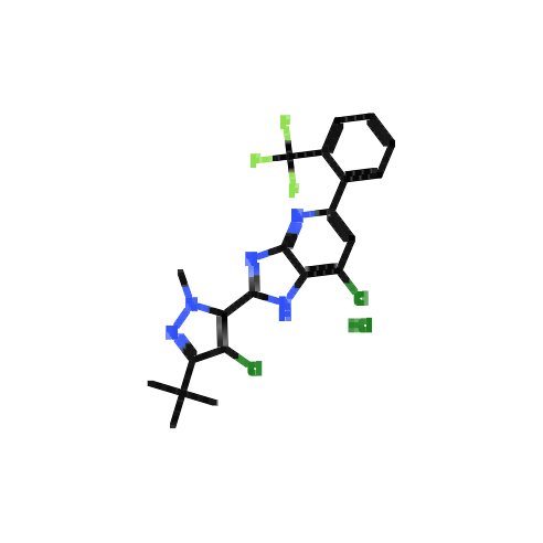 Cl.Cn1nc(C(C)(C)C)c(Cl)c1-c1nc2nc(-c3ccccc3C(F)(F)F)cc(Cl)c2[nH]1